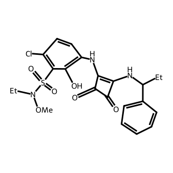 CCC(Nc1c(Nc2ccc(Cl)c(S(=O)(=O)N(CC)OC)c2O)c(=O)c1=O)c1ccccc1